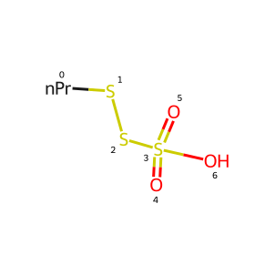 CCCSSS(=O)(=O)O